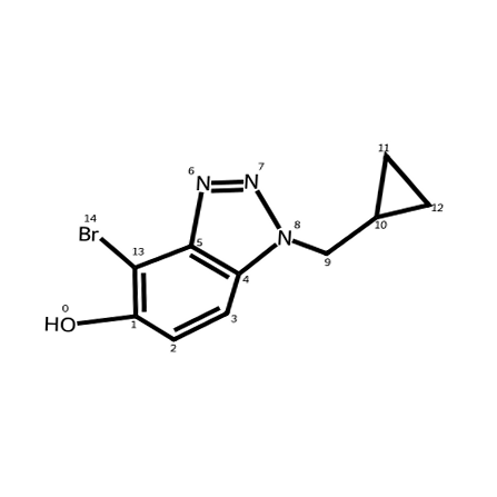 Oc1ccc2c(nnn2CC2CC2)c1Br